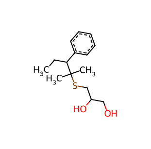 CCC(c1ccccc1)C(C)(C)SCC(O)CO